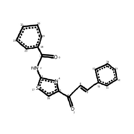 O=C(Nc1nc(C(=O)C=Cc2ccccc2)cs1)c1ccccc1